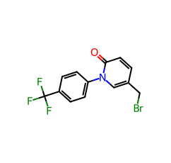 O=c1ccc(CBr)cn1-c1ccc(C(F)(F)F)cc1